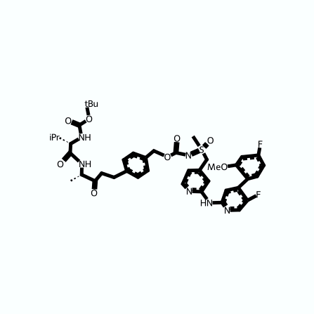 COc1cc(F)ccc1-c1cc(Nc2cc(CS(C)(=O)=NC(=O)OCc3ccc(CCC(=O)[C@H](C)NC(=O)[C@@H](NC(=O)OC(C)(C)C)C(C)C)cc3)ccn2)ncc1F